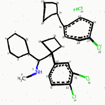 CNC(C1CCCCC1)C1(c2ccc(Cl)c(Cl)c2)CCC1.Cl.Clc1ccc(C2CCC2)cc1